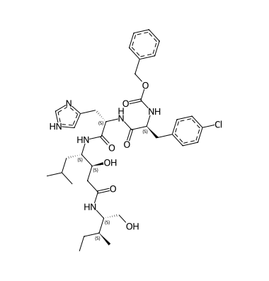 CC[C@H](C)[C@@H](CO)NC(=O)C[C@H](O)[C@H](CC(C)C)NC(=O)[C@H](Cc1c[nH]cn1)NC(=O)[C@H](Cc1ccc(Cl)cc1)NC(=O)OCc1ccccc1